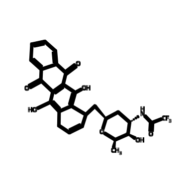 C[C@H]1O[C@@H](CC2C=CCc3c(O)c4c(c(O)c32)C(=O)c2ccccc2C4=O)C[C@H](NC(=O)C(F)(F)F)[C@H]1O